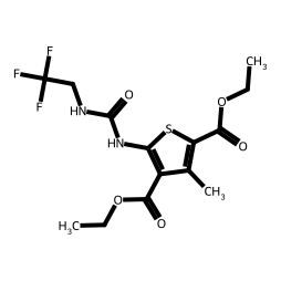 CCOC(=O)c1sc(NC(=O)NCC(F)(F)F)c(C(=O)OCC)c1C